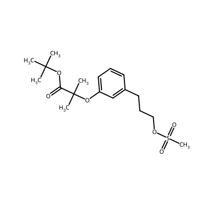 CC(C)(C)OC(=O)C(C)(C)Oc1cccc(CCCOS(C)(=O)=O)c1